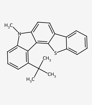 Cn1c2cccc(C(C)(C)C)c2c2c3sc4ccccc4c3ccc21